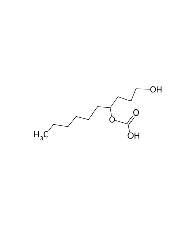 CCCCCCC(CCCO)OC(=O)O